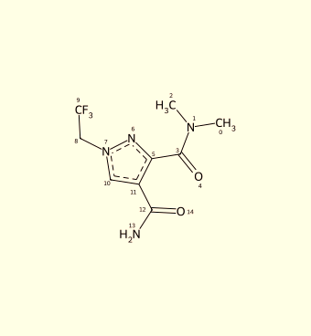 CN(C)C(=O)c1nn(CC(F)(F)F)cc1C(N)=O